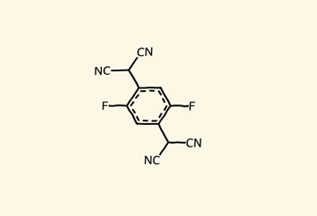 N#CC(C#N)c1cc(F)c(C(C#N)C#N)cc1F